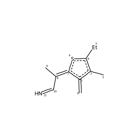 C=c1c(C)c(CC)s/c1=C(\C)C=N